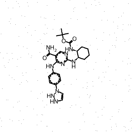 CC(C)(C)OC(=O)N[C@H]1CCCC[C@H]1Nc1ncc(C(N)=O)c(Nc2ccc(N3C=CNN3)cc2)n1